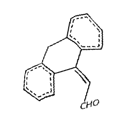 O=CC=C1c2ccccc2Cc2ccccc21